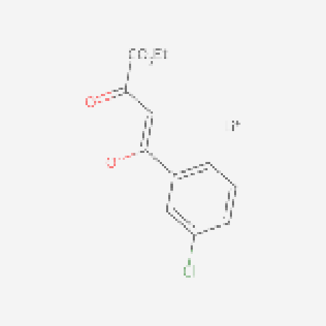 CCOC(=O)C(=O)C=C([O-])c1cccc(Cl)c1.[Li+]